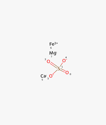 O=S(=O)([O-])[O-].[Ca].[Fe+2].[Mg]